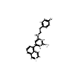 Oc1ccc(CCNc2cc(-c3cccc4cnccc34)nc(O)n2)cc1